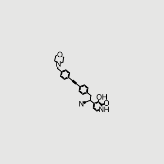 N#CC(Cc1ccc(C#Cc2ccc(CN3CCOCC3)cc2)cc1)c1cc[nH]c(=O)c1O